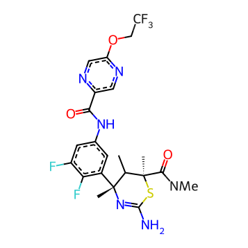 CNC(=O)[C@@]1(C)SC(N)=N[C@](C)(c2cc(NC(=O)c3cnc(OCC(F)(F)F)cn3)cc(F)c2F)C1C